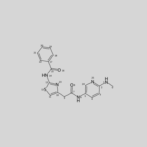 CNc1ccc(NC(=O)Cc2csc(NC(=O)c3ccccc3)n2)cn1